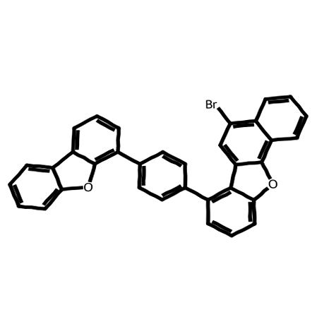 Brc1cc2c(oc3cccc(-c4ccc(-c5cccc6c5oc5ccccc56)cc4)c32)c2ccccc12